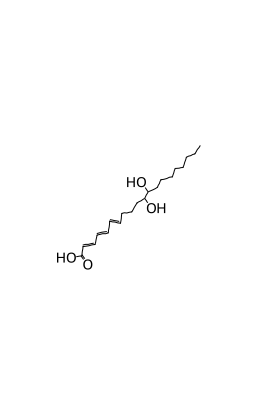 CCCCCCCCC(O)C(O)CCCC=CC=CC=CC(=O)O